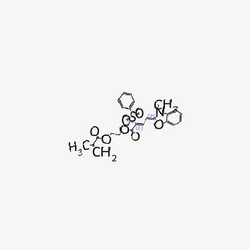 C=C(C)C(=O)OCCOC(=O)/C(=C/C=C1\Oc2ccccc2N1C)S(=O)(=O)c1ccccc1